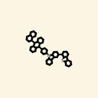 c1ccc2c(-c3c4ccccc4c(-c4ccc(-n5c6ccccc6c6cc(-c7cccc8c7sc7ccccc78)ccc65)cc4)c4ccccc34)cccc2c1